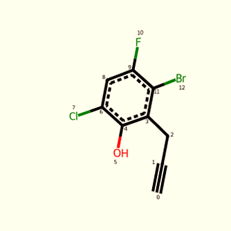 C#CCc1c(O)c(Cl)cc(F)c1Br